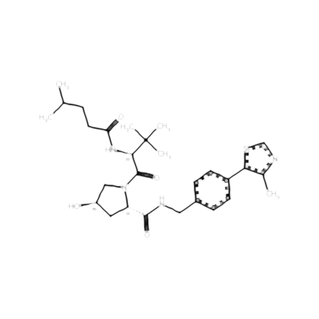 Cc1ncsc1-c1ccc(CNC(=O)[C@@H]2C[C@@H](O)CN2C(=O)[C@@H](NC(=O)CCC(C)C)C(C)(C)C)cc1